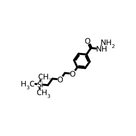 C[Si](C)(C)CCOCOc1ccc(C(=O)NN)cc1